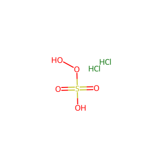 Cl.Cl.O=S(=O)(O)OO